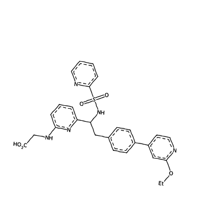 CCOc1cc(-c2ccc(CC(NS(=O)(=O)c3ccccn3)c3cccc(NCC(=O)O)n3)cc2)ccn1